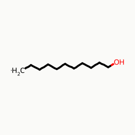 [CH2]CCCCCCCCCCO